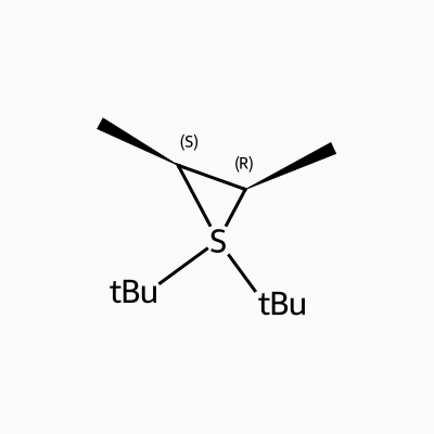 C[C@@H]1[C@H](C)S1(C(C)(C)C)C(C)(C)C